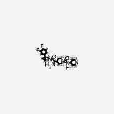 NC(C(=O)NCC1(c2ccc(F)c(F)c2)CC1)C1CCN(C(=O)Nc2ccncc2)CC1